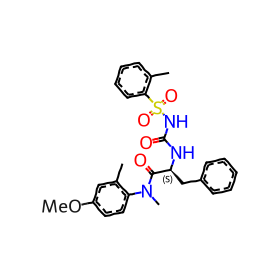 COc1ccc(N(C)C(=O)[C@H](Cc2ccccc2)NC(=O)NS(=O)(=O)c2ccccc2C)c(C)c1